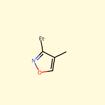 C[CH]c1nocc1C